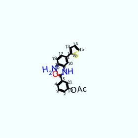 CC(=O)Oc1cccc(C(=O)Nc2cc(-c3cccs3)ccc2N)c1